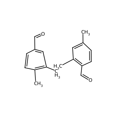 Cc1ccc(C=O)c(C)c1.Cc1ccc(C=O)cc1C